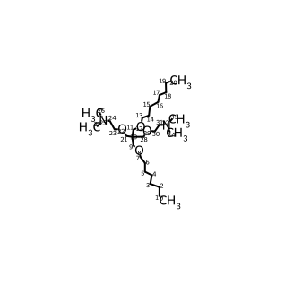 CCCCCCCCOCC(COCCCCCCCC)(COCCN(C)C)COCCN(C)C